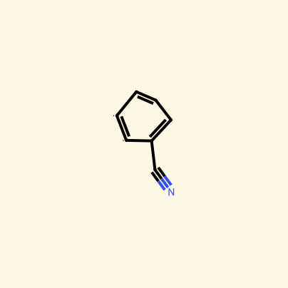 N#Cc1[c][c]ccc1